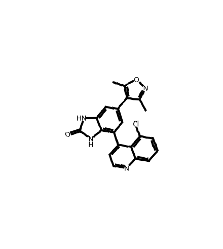 Cc1noc(C)c1-c1cc(-c2ccnc3cccc(Cl)c23)c2[nH]c(=O)[nH]c2c1